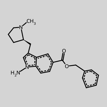 CN1CCC[C@@H]1Cc1cn(N)c2ccc(C(=O)OCc3ccccc3)cc12